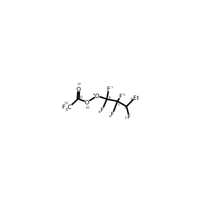 CCC(F)C(F)(F)C(F)(F)OOC(=O)C(F)(F)F